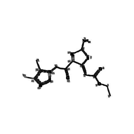 CCOC(=O)C=C1SC(N)N=C1C(=O)C[n+]1csc(C)c1C